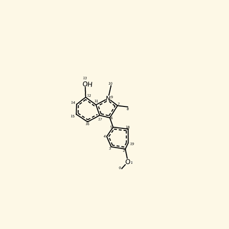 COc1ccc(-c2c(C)n(C)c3c(O)cccc23)cc1